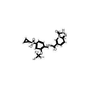 O=C(NCc1ccc(S(=O)(=O)C2CC2)cc1OC(F)(F)F)c1ccc2n[nH]c(=O)n2c1